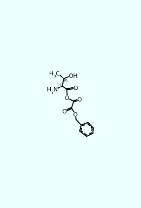 C[C@@H](O)[C@H](N)C(=O)OC(=O)C(=O)OCc1ccccc1